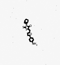 Nc1ccc(-c2ccc(/C=C3\SC(=S)N(C4CC5CCC4C5)C3=O)o2)cc1